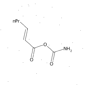 CCC/C=C/C(=O)OC(N)=O